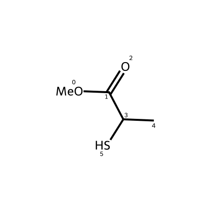 COC(=O)C(C)S